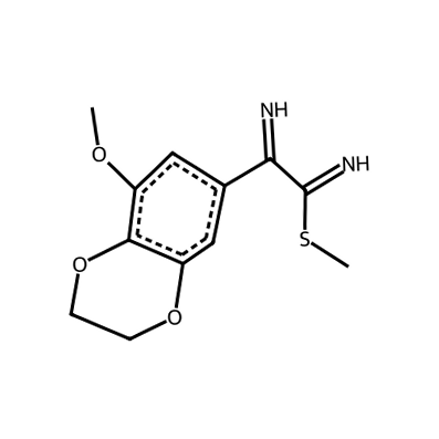 COc1cc(C(=N)C(=N)SC)cc2c1OCCO2